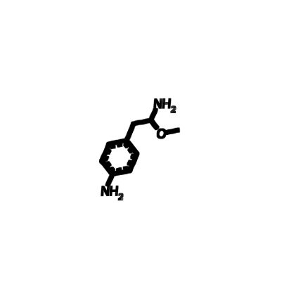 COC(N)Cc1ccc(N)cc1